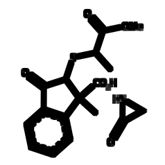 COC(=O)C(C)SC1C(=O)c2ccccc2C1(C)C(=O)O.O=C1CN1